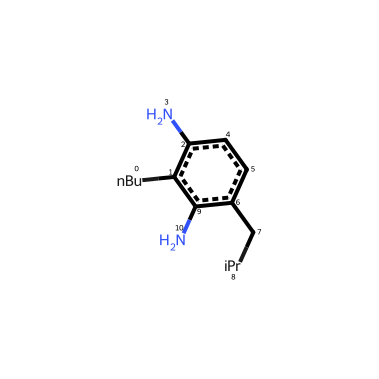 CCCCc1c(N)ccc(CC(C)C)c1N